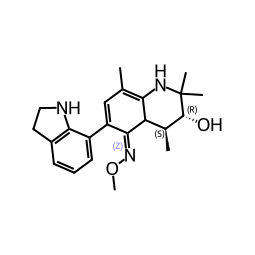 CO/N=C1\C(c2cccc3c2NCC3)=CC(C)=C2NC(C)(C)[C@H](O)[C@@H](C)C21